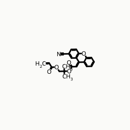 C=CC(=O)OCC(C)(C)OC(=O)C=C1c2ccccc2Oc2ccc(C#N)cc21